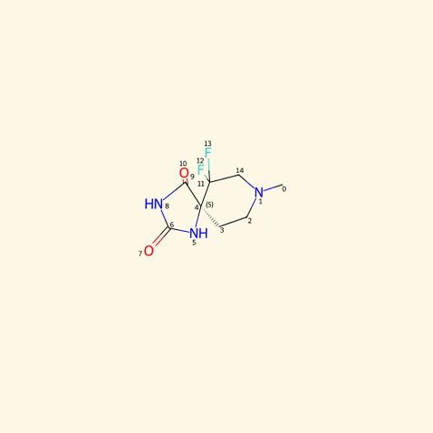 CN1CC[C@@]2(NC(=O)NC2=O)C(F)(F)C1